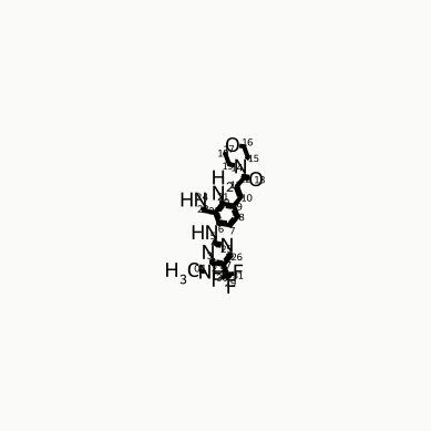 CNc1nc(Nc2ccc(/C=C/C(=O)N3CCOCC3)c(N)c2C=N)ncc1C(F)(F)F